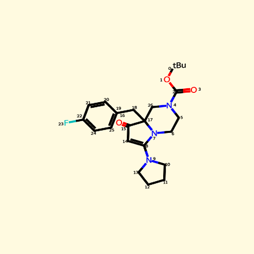 CC(C)(C)OC(=O)N1CCN2C(N3CCCC3)=CC(=O)C2(Cc2ccc(F)cc2)C1